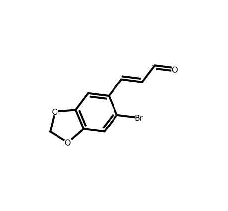 O=[C]C=Cc1cc2c(cc1Br)OCO2